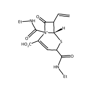 C=CC1C(=O)[N+]2(C(=O)NCC)C(C(=O)O)=CC(C(=O)NCC)S[C@@H]12